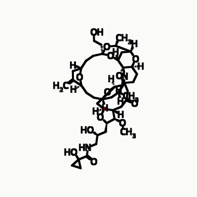 C=C1C[C@@H]2CC[C@@]3(CCO)O[C@@H](C)[C@H]4C[C@@H](O3)[C@]35N=C6[C@H](C)C[C@H](CC[C@@H]1O2)O[C@@H]6C[C@@H]1O[C@H](C[C@H](O)CNC(=O)C2(O)CC2)[C@H](OC)[C@H]1CC(=O)C[C@@H](CC[C@@H]3O4)O5